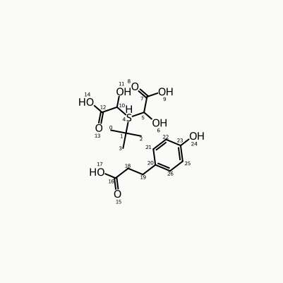 CC(C)(C)[SH](C(O)C(=O)O)C(O)C(=O)O.O=C(O)CCc1ccc(O)cc1